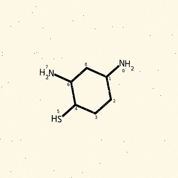 NC1CCC(S)C(N)C1